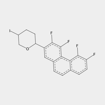 Fc1ccc2ccc3cc(C4CCC(I)CO4)c(F)c(F)c3c2c1F